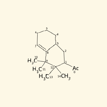 CC(=O)C1CC2CCCC=C2C(C)(C)C1(C)C